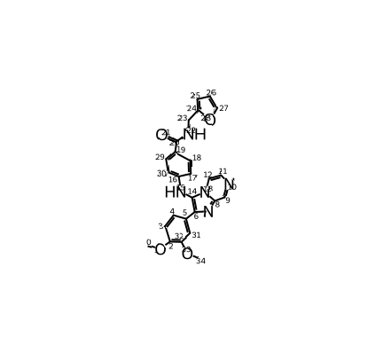 COc1ccc(-c2nc3cnccn3c2Nc2ccc(C(=O)NCc3ccco3)cc2)cc1OC